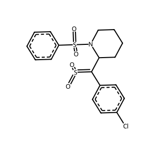 O=S(=O)=C(c1ccc(Cl)cc1)C1CCCCN1S(=O)(=O)c1ccccc1